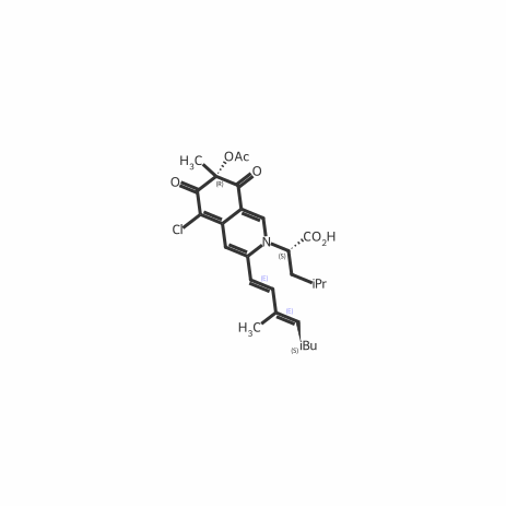 CC[C@H](C)/C=C(C)/C=C/C1=CC2=C(Cl)C(=O)[C@](C)(OC(C)=O)C(=O)C2=CN1[C@@H](CC(C)C)C(=O)O